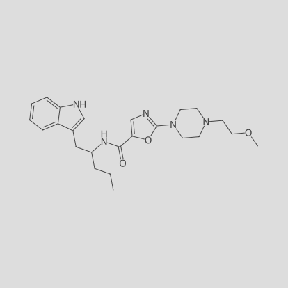 CCCC(Cc1c[nH]c2ccccc12)NC(=O)c1cnc(N2CCN(CCOC)CC2)o1